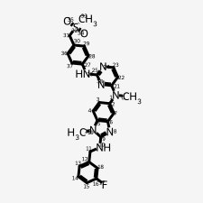 CN(c1ccc2c(c1)nc(NCc1cccc(F)c1)n2C)c1ccnc(Nc2ccc(CS(C)(=O)=O)cc2)n1